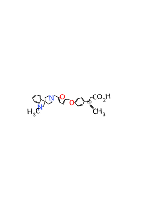 CC#C[C@@H](CC(=O)O)c1ccc(OCc2ccc(CN3CCC4(CC3)CN(C)c3ccccc34)o2)cc1